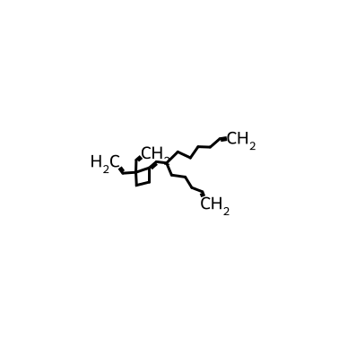 C=CCCCCC(C=C1CCC1(C=C)C=C)CCCC=C